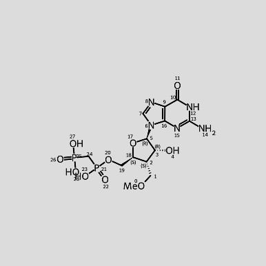 COC[C@H]1[C@@H](O)[C@H](n2cnc3c(=O)[nH]c(N)nc32)O[C@@H]1COP(=O)(O)CP(=O)(O)O